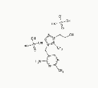 Cc1ncc(C[n+]2csc(CCO)c2C)c(N)n1.O=P(O)(O)O.O=P([O-])(O)O